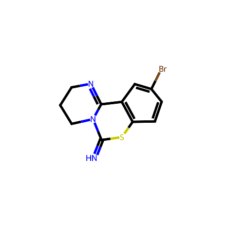 N=C1Sc2ccc(Br)cc2C2=NCCCN12